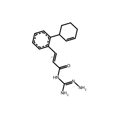 NN=C(N)NC(=O)/C=C/c1ccccc1C1C=CCCC1